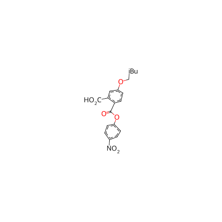 CCC(C)COc1ccc(C(=O)Oc2ccc([N+](=O)[O-])cc2)c(C(=O)O)c1